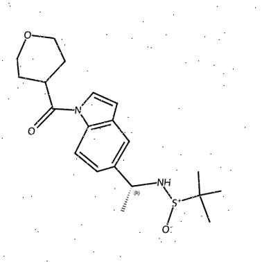 C[C@@H](N[S+]([O-])C(C)(C)C)c1ccc2c(ccn2C(=O)C2CCOCC2)c1